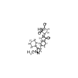 Cn1ncc(-c2ccc3c(c2)CN(C2CCC(=O)NC2=O)C3=O)c1C1CCCCC1